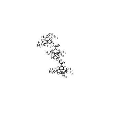 CC(C)(C)c1cc(CCC(=O)C2CC(C)(C)N(CCOCCC(=O)c3cc(C(C)(C)C)c(O)c(C(C)(C)C)c3)C(C)(C)C2)cc(C(C)(C)C)c1O